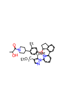 CCOC(=O)c1cnn(-c2cccc(-c3cccc4c3[C@@H](Oc3ccc(C5CCN(C(=O)C(C)O)CC5)c(CC)c3)CC4)n2)c1OC